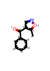 Cc1oncc1C(=O)c1ccccc1